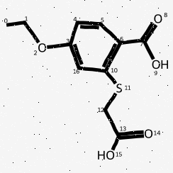 CCOc1ccc(C(=O)O)c(SCC(=O)O)c1